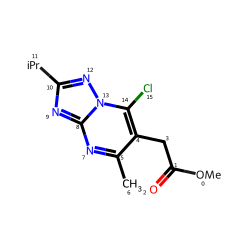 COC(=O)Cc1c(C)nc2nc(C(C)C)nn2c1Cl